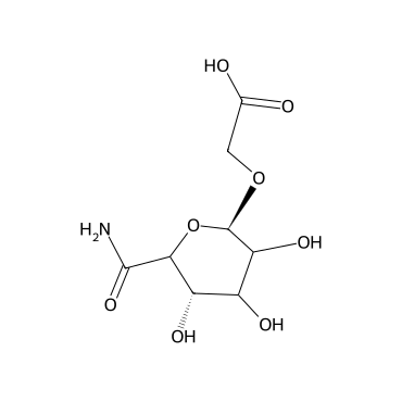 NC(=O)C1O[C@@H](OCC(=O)O)C(O)C(O)[C@@H]1O